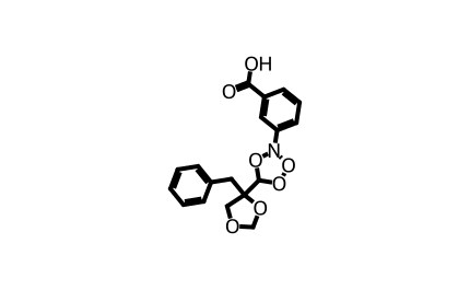 O=C(O)c1cccc(N2OOC(C3(Cc4ccccc4)COCO3)O2)c1